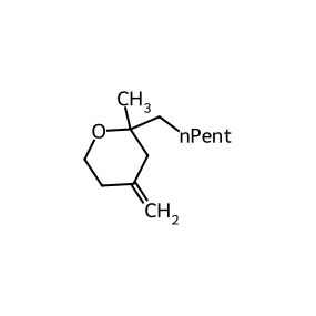 C=C1CCOC(C)(CCCCCC)C1